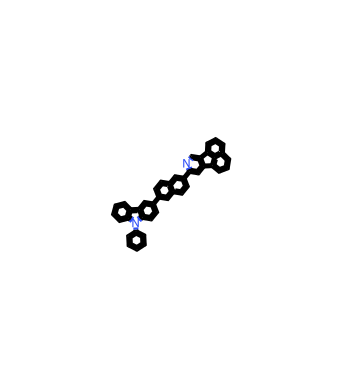 c1ccc(-n2c3ccccc3c3cc(-c4ccc5cc(-c6cc7c(cn6)-c6cccc8cccc-7c68)ccc5c4)ccc32)cc1